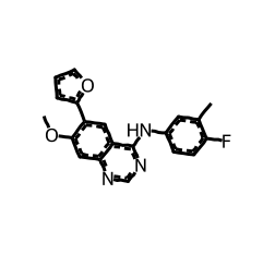 COc1cc2ncnc(Nc3ccc(F)c(C)c3)c2cc1-c1ccco1